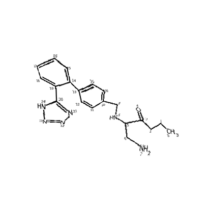 CCCC(=O)C(CN)NCc1ccc(-c2ccccc2-c2nnn[nH]2)cc1